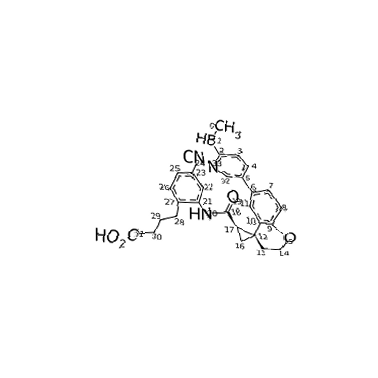 CBc1ccc(-c2ccc3c(c2)[C@]2(CCO3)C[C@H]2C(=O)Nc2cc(C#N)ccc2CCCC(=O)O)cn1